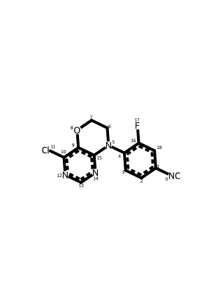 [C-]#[N+]c1ccc(N2CCOc3c(Cl)ncnc32)c(F)c1